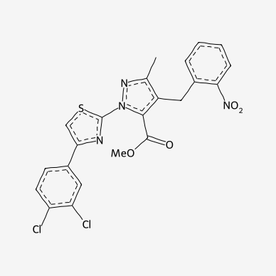 COC(=O)c1c(Cc2ccccc2[N+](=O)[O-])c(C)nn1-c1nc(-c2ccc(Cl)c(Cl)c2)cs1